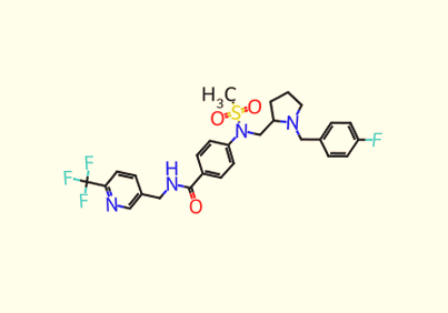 CS(=O)(=O)N(CC1CCCN1Cc1ccc(F)cc1)c1ccc(C(=O)NCc2ccc(C(F)(F)F)nc2)cc1